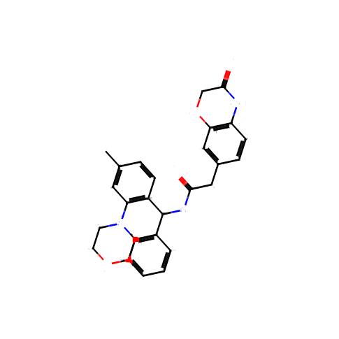 Cc1ccc(C(NC(=O)Cc2ccc3c(c2)OCC(=O)N3)c2ccccc2)c(N2CCOCC2)c1